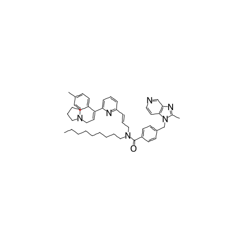 CCCCCCCCCN(C/C=C/c1cccc(/C(=C/CN2CCCC2)c2ccc(C)cc2)n1)C(=O)c1ccc(Cn2c(C)nc3cnccc32)cc1